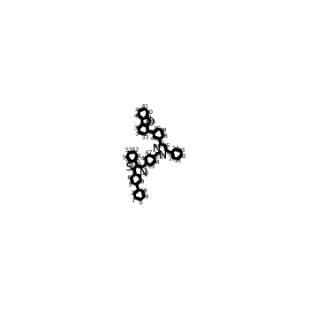 c1ccc(-c2ccc3c(c2)nc(-c2ccc(-c4nc(-c5ccccc5)cc(-c5cccc(-c6cccc7c6oc6ccccc67)c5)n4)cc2)c2c4ccccc4sc32)cc1